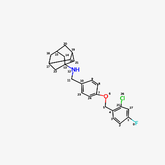 Fc1ccc(COc2ccc(CNC34CC5CC(CC(C5)C3)C4)cc2)c(Cl)c1